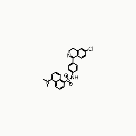 CN(C)c1cccc2c(S(=O)(=O)Nc3ccc(C4=NCCc5cc(Cl)ccc54)cc3)cccc12